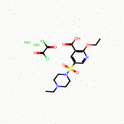 CCOc1ncc(S(=O)(=O)N2CCN(CC)CC2)cc1C(=O)O.Cl.Cl.O=C(Cl)C(=O)Cl